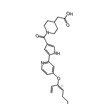 C=C/C(=C\CCN)Oc1ccnc(-c2cc(C(=O)N3CCC(CC(=O)O)CC3)c[nH]2)c1